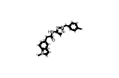 Cc1ccc(Cn2ncc(NC(=O)Cc3ccc4c(ccn4C)c3)n2)cc1